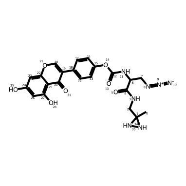 CC1(CNC(=O)C(CN=[N+]=[N-])NC(=O)Oc2ccc(-c3coc4cc(O)cc(O)c4c3=O)cc2)NN1